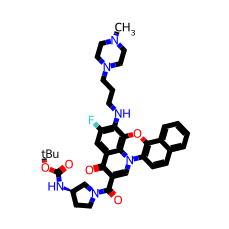 CN1CCN(CCCNc2c(F)cc3c(=O)c(C(=O)N4CC[C@@H](NC(=O)OC(C)(C)C)C4)cn4c3c2Oc2c-4ccc3ccccc23)CC1